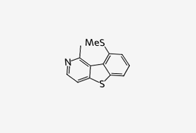 CSc1cccc2sc3ccnc(C)c3c12